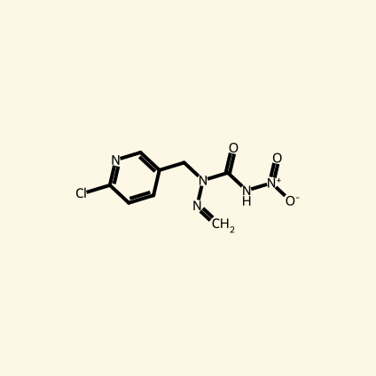 C=NN(Cc1ccc(Cl)nc1)C(=O)N[N+](=O)[O-]